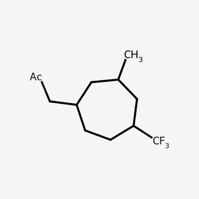 CC(=O)CC1CCC(C(F)(F)F)CC(C)C1